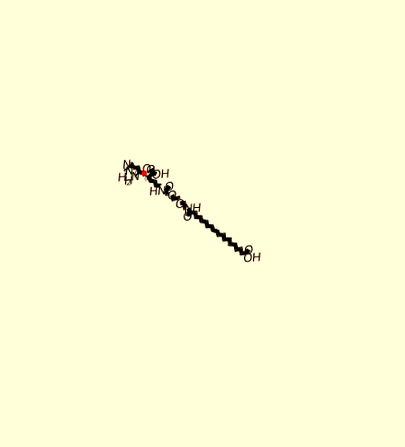 N[C@@H](Cc1cnc[nH]1)C(=O)C[C@@H](CCCCNC(=O)COCCOCCNC(=O)CCCCCCCCCCCCCCCCCCC(=O)O)C(=O)O